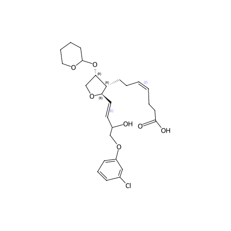 O=C(O)CC/C=C\CC[C@H]1[C@@H](OC2CCCCO2)CO[C@@H]1/C=C/C(O)COc1cccc(Cl)c1